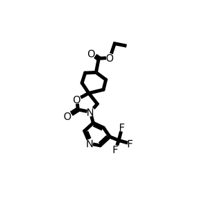 CCOC(=O)C1CCC2(CC1)CN(c1cncc(C(F)(F)F)c1)C(=O)O2